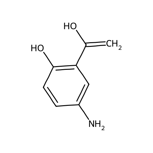 C=C(O)c1cc(N)ccc1O